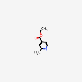 CCOC(=O)c1ccnc(C)c1